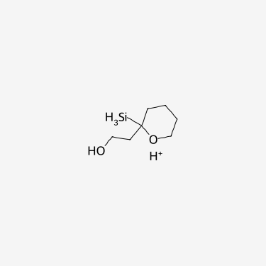 OCCC1([SiH3])CCCCO1.[H+]